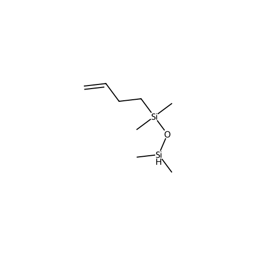 C=CCC[Si](C)(C)O[SiH](C)C